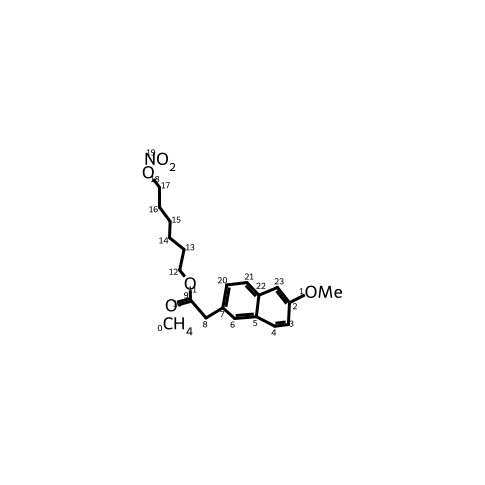 C.COc1ccc2cc(CC(=O)OCCCCCCO[N+](=O)[O-])ccc2c1